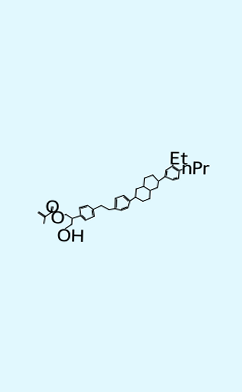 C=C(C)C(=O)OCC(CCO)c1ccc(CCc2ccc(C3CCC4CC(c5ccc(CCC)c(CC)c5)CCC4C3)cc2)cc1